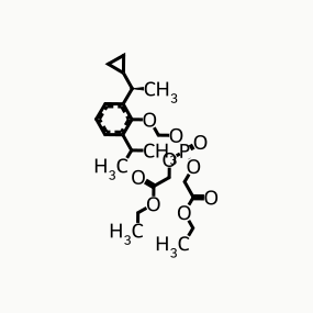 CCOC(=O)COP(=O)(OCOc1c(C(C)C)cccc1[C@H](C)C1CC1)OCC(=O)OCC